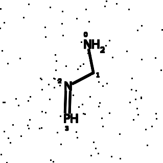 NCN=P